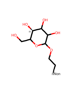 CCCCCCCCCCCOC1OC(CO)[C@@H](O)C(O)C1O